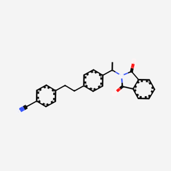 CC(c1ccc(CCc2ccc(C#N)cc2)cc1)N1C(=O)c2ccccc2C1=O